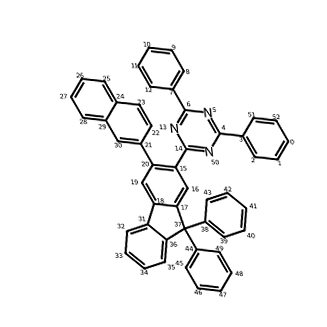 c1ccc(-c2nc(-c3ccccc3)nc(-c3cc4c(cc3-c3ccc5ccccc5c3)-c3ccccc3C4(c3ccccc3)c3ccccc3)n2)cc1